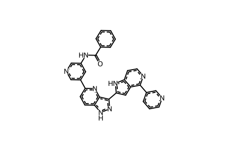 O=C(Nc1cncc(-c2ccc3[nH]nc(-c4cc5c(-c6cccnc6)nccc5[nH]4)c3n2)c1)c1ccccc1